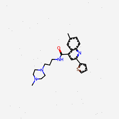 Cc1ccc2nc(-c3cccs3)cc(C(=O)NCCCN3CCN(C)CC3)c2c1